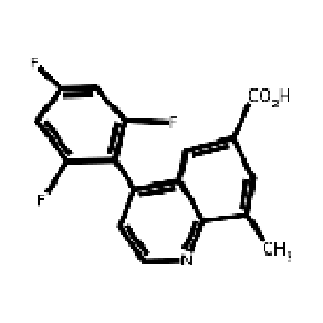 Cc1cc(C(=O)O)cc2c(-c3c(F)cc(F)cc3F)ccnc12